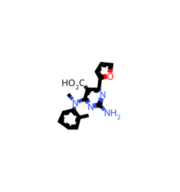 Cc1ccccc1N(C)c1nc(N)nc(-c2ccco2)c1C(=O)O